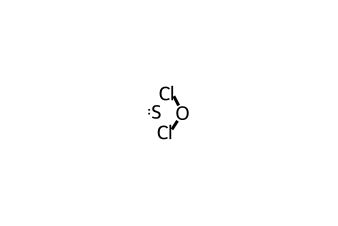 ClOCl.[S]